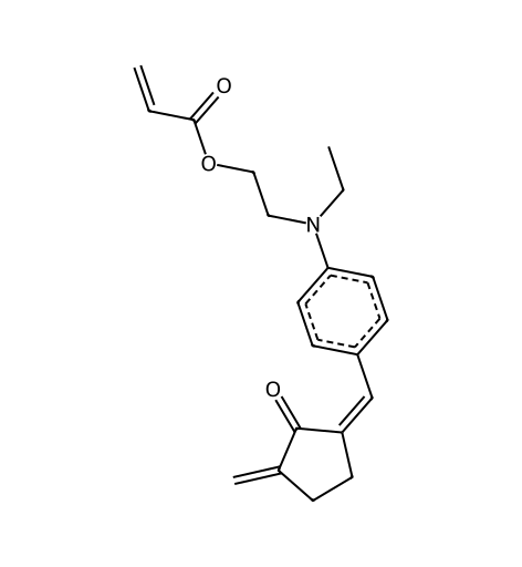 C=CC(=O)OCCN(CC)c1ccc(C=C2CCC(=C)C2=O)cc1